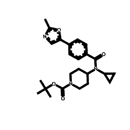 Cc1ncc(-c2ccc(C(=O)N(C3CC3)C3CCN(C(=O)OC(C)(C)C)CC3)cc2)o1